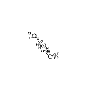 O=C(COc1ccc(Cl)c(F)c1)N[C@@H]1C[C@H](C(=O)NCc2cccc(OC(F)(F)F)c2)C2CC1C2